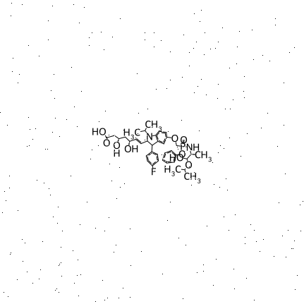 CC(C)OC(O)[C@H](C)NP(=O)(COc1ccc2c(c1)C(c1ccc(F)cc1)C(/C=C/[C@@H](O)C[C@@H](O)CC(=O)O)N2C(C)C)Oc1ccccc1